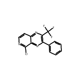 FC(F)(F)c1nc2ccnc(Cl)c2nc1-c1ccccc1